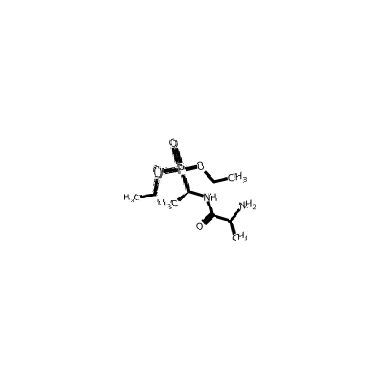 CCOP(=O)(OCC)[C@H](C)NC(=O)C(C)N